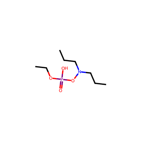 CCCN(CCC)OP(=O)(O)OCC